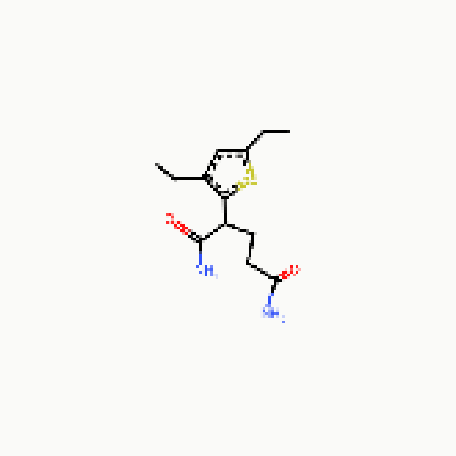 CCc1cc(CC)c(C(CCC(N)=O)C(N)=O)s1